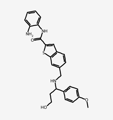 COc1ccc(C(CCO)NCc2ccc3cc(C(=O)Nc4ccccc4N)sc3c2)cc1